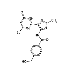 CCc1cc(=O)[nH]c(-n2nc(C)cc2NC(=O)c2ccc(CO)cc2)n1